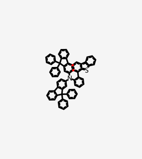 c1ccc(C2(c3ccccc3)c3ccccc3-c3ccc(N(c4ccc5c(c4)C(c4ccccc4)(c4ccccc4)c4ccccc4-5)c4ccccc4-c4cccc5c4sc4ccccc45)cc32)cc1